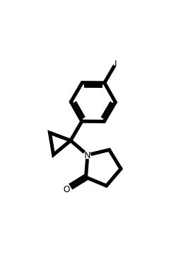 O=C1CCCN1C1(c2ccc(I)cc2)CC1